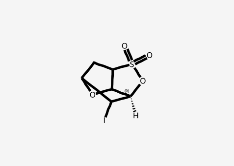 O=S1(=O)O[C@H]2C(I)C3CC1C2O3